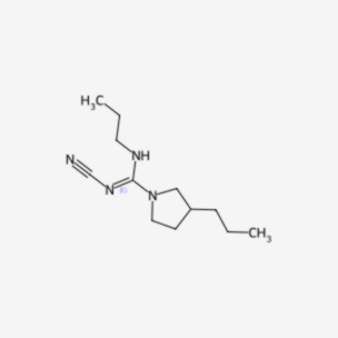 CCCN/C(=N\C#N)N1CCC(CCC)C1